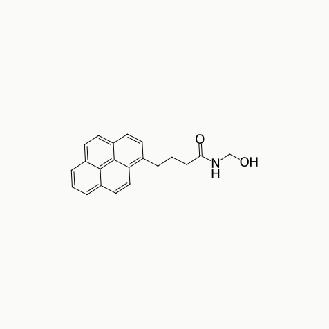 O=C(CCCc1ccc2ccc3cccc4ccc1c2c34)NCO